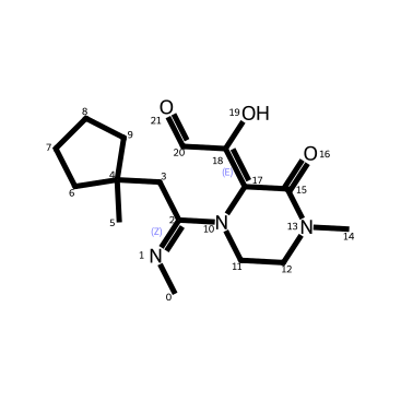 C/N=C(/CC1(C)CCCC1)N1CCN(C)C(=O)/C1=C(\O)C=O